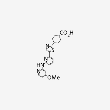 COc1ccnc(Nc2cccc(-c3cnc(C4CCC(C(=O)O)CC4)s3)n2)c1